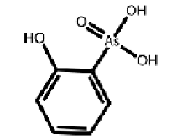 O=[As](O)(O)c1ccccc1O